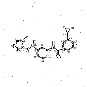 C[C@H](Sc1nncn1C)c1cccc(NC(=O)c2cccc(C3CC3)n2)c1